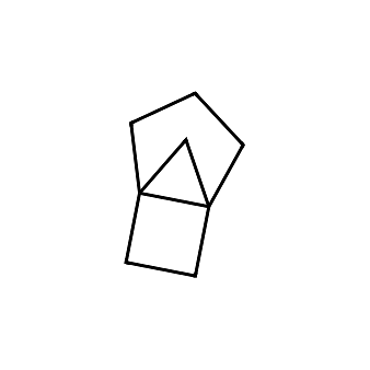 C1CC23CCC2(C1)C3